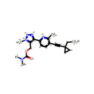 CCCN(CC)C(=O)OCc1c(-c2ccc(C#CC3(CC(=O)O)CC3)c(C)n2)nnn1C